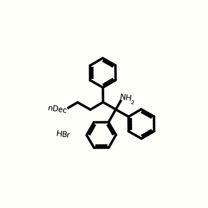 Br.CCCCCCCCCCCCC(c1ccccc1)C(N)(c1ccccc1)c1ccccc1